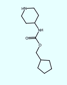 O=C(NC1CCNCC1)OCC1CCCC1